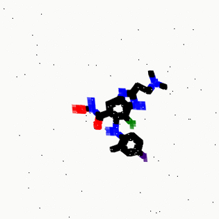 Cc1cc(I)ccc1Nc1c(C(=O)NO)cc2nc(CCN(C)C)[nH]c2c1F